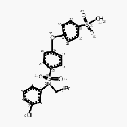 CC(C)CN(c1cccc(Cl)c1)S(=O)(=O)c1ccc(Oc2ccc(S(C)(=O)=O)cc2)cc1